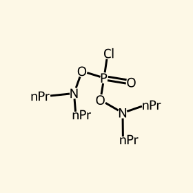 CCCN(CCC)OP(=O)(Cl)ON(CCC)CCC